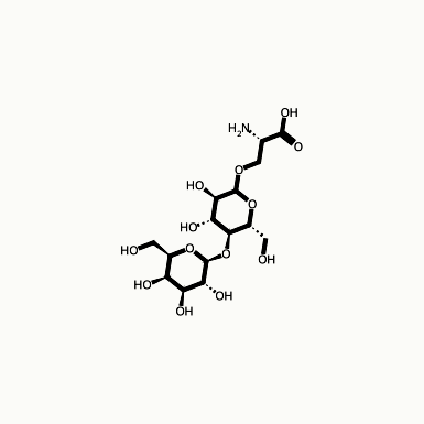 N[C@@H](COC1O[C@H](CO)[C@@H](O[C@@H]2O[C@H](CO)[C@H](O)[C@H](O)[C@H]2O)[C@H](O)[C@H]1O)C(=O)O